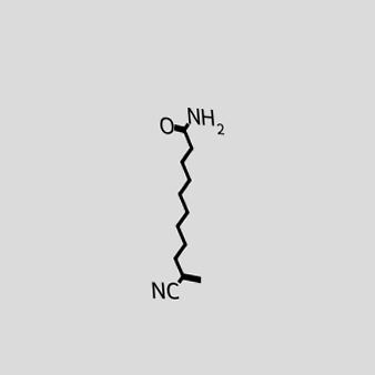 C=C(C#N)CCCCCCCCC(N)=O